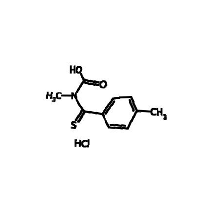 Cc1ccc(C(=S)N(C)C(=O)O)cc1.Cl